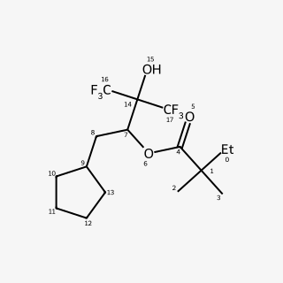 CCC(C)(C)C(=O)OC(CC1CCCC1)C(O)(C(F)(F)F)C(F)(F)F